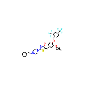 COc1cc(/C=C2/SC(N3CCN(CCc4ccccc4)CC3)=NC2=O)ccc1OCc1ccc(C(F)(F)F)cc1C(F)(F)F